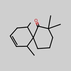 CC1C=CCC(C)C12CCCC(C)(C)C2=O